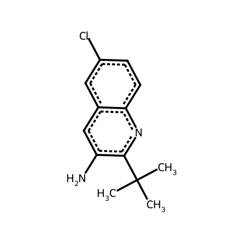 CC(C)(C)c1nc2ccc(Cl)cc2cc1N